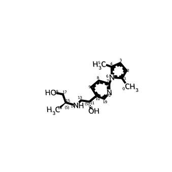 Cc1ccc(C)n1-c1ccc([C@H](O)CN[C@@H](C)CO)cn1